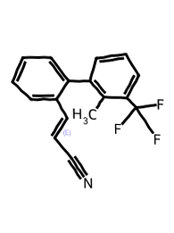 Cc1c(-c2ccccc2/C=C/C#N)cccc1C(F)(F)F